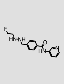 O=C(Nc1cccnc1)c1ccc(CNNCCF)cc1